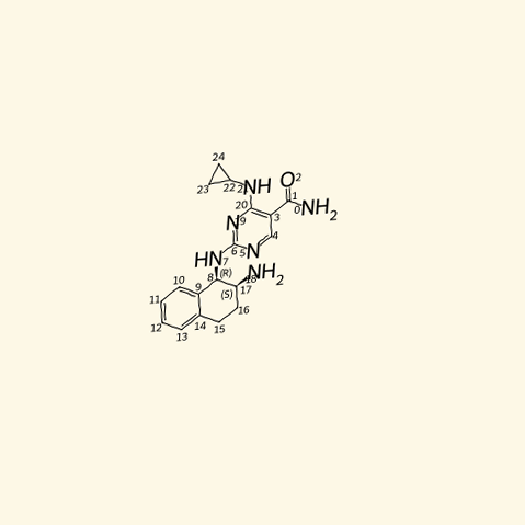 NC(=O)c1cnc(N[C@@H]2c3ccccc3CC[C@@H]2N)nc1NC1CC1